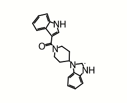 O=C(c1c[nH]c2ccccc12)N1CCC(N2[CH]Nc3ccccc32)CC1